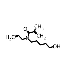 C=CCN(CCCCCO)C(=O)C(=C)C